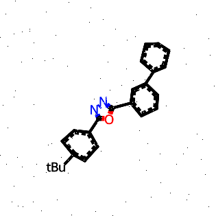 CC(C)(C)c1ccc(-c2nnc(-c3cccc(-c4ccccc4)c3)o2)cc1